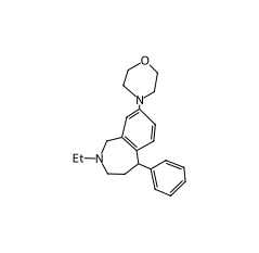 CCN1CCC(c2ccccc2)c2ccc(N3CCOCC3)cc2C1